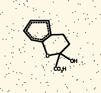 O=C(O)C1(O)CCc2ccccc2O1